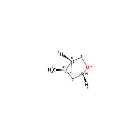 C[C@@H]1C[C@@H]2C[C@H]1CO2